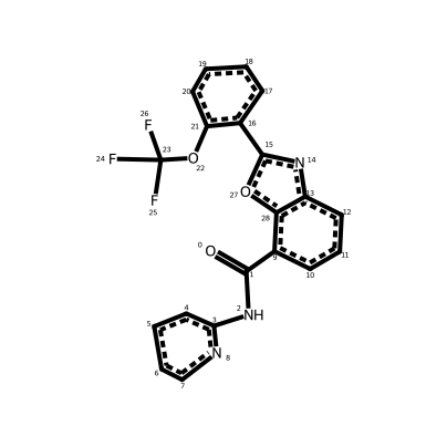 O=C(Nc1ccccn1)c1cccc2nc(-c3ccccc3OC(F)(F)F)oc12